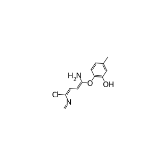 C=N/C(Cl)=C\C=C(/N)Oc1ccc(C)cc1O